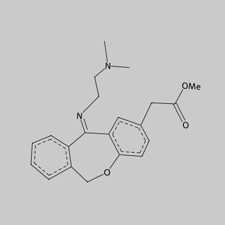 COC(=O)Cc1ccc2c(c1)C(=NCCN(C)C)c1ccccc1CO2